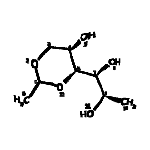 CC1OC[C@@H](O)[C@H]([C@H](O)[C@H](C)O)O1